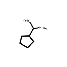 CC(=O)NC([C]=O)C1CCCC1